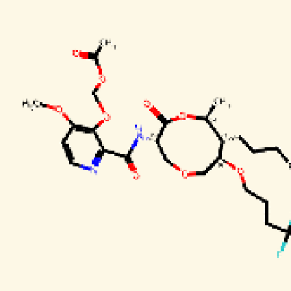 CCCC[C@H]1[C@H](C)OC(=O)[C@@H](NC(=O)c2nccc(OC)c2OCOC(C)=O)COC[C@@H]1OCCCC(F)(F)F